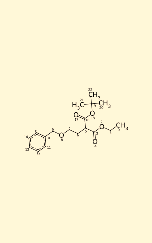 CCOC(=O)C(CCOCc1ccccc1)C(=O)OC(C)(C)C